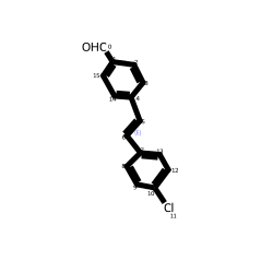 O=Cc1ccc(/C=C/c2ccc(Cl)cc2)cc1